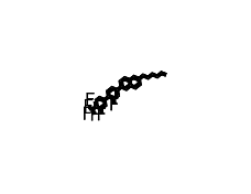 CCCCCCc1ccc2cc(-c3ccc(-c4cc(F)c(C(F)(F)F)c(F)c4)c(F)c3)ccc2c1